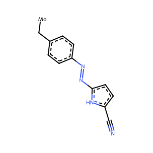 N#Cc1ccc(/N=N/c2ccc([CH2][Mo])cc2)[nH]1